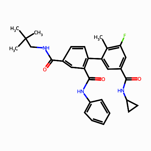 Cc1c(F)cc(C(=O)NC2CC2)cc1-c1ccc(C(=O)NCC(C)(C)C)cc1C(=O)Nc1ccccc1